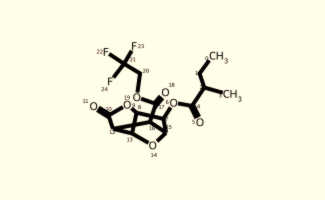 CCC(C)C(=O)OC1C2OC(=O)C3C2OC1C3C(=O)OCC(F)(F)F